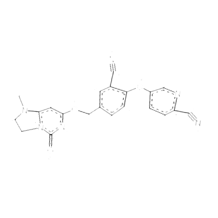 CN1CCn2c1cc(OCc1ccc(Oc3ccc(C#N)nc3)c(C#N)c1)nc2=O